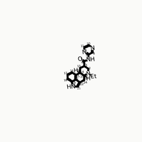 CCN1CC(C(=O)Nc2cnccn2)C[C@@H]2c3cccc4[nH]cc(c34)C[C@H]21